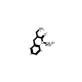 CCOC(=O)OC(=O)C(CN)Cc1ccccc1.Cl